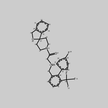 O=C(CNCc1cccc(C(F)(F)F)c1-c1ccc(F)cc1)N1CCC2(CC1)OCc1ccccc12